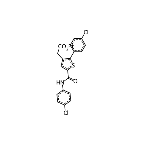 CCOC(=O)Cc1cc(C(=O)Nc2ccc(Cl)cc2)sc1-c1ccc(Cl)cc1